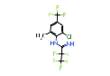 Cc1cc(C(F)(F)F)cc(Cl)c1NC(=N)C(F)(F)C(F)(F)F